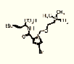 CC(C)(C)/C=C/C(NC(=O)c1cc(Br)cn1COCC[Si](C)(C)C)C(=O)O